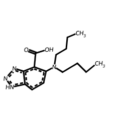 CCCCN(CCCC)c1ccc2[nH]nnc2c1C(=O)O